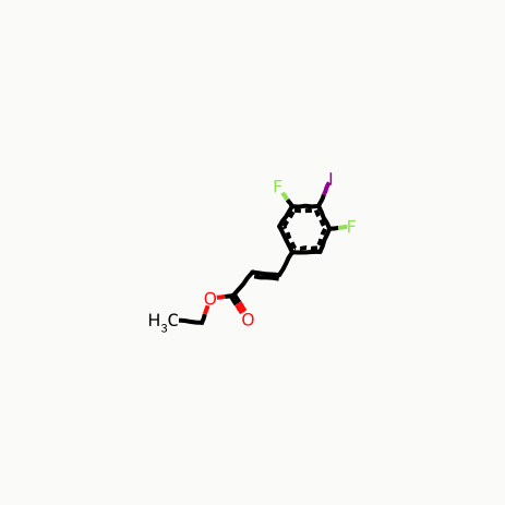 CCOC(=O)/C=C/c1cc(F)c(I)c(F)c1